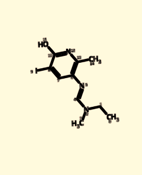 CCN(C)/C=N/c1cc(I)c(O)nc1C